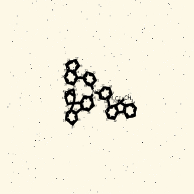 CC1(C)c2ccccc2-c2cccc(-c3cccc(N(c4cccc(-c5cccc6ccccc56)c4)c4ccc5c(c4)C4(CC6CCC4C6)c4ccccc4-5)c3)c21